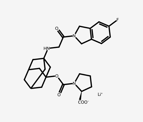 O=C([O-])[C@@H]1CCCN1C(=O)OC12CC3CC(CC(NCC(=O)N4Cc5ccc(F)cc5C4)(C3)C1)C2.[Li+]